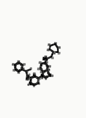 CC(Nc1nccc(-n2cnc3cc(NCC4CCCCC4)ccc32)n1)c1ccccc1